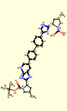 CC1CC(c2nc3cc(-c4ccc(-c5ccc(-c6c[nH]c([C@@H]7C[C@H](C)CN7C(=O)O)n6)cc5)cc4)cnc3[nH]2)N(C(=O)OC(C)(C)C)C1